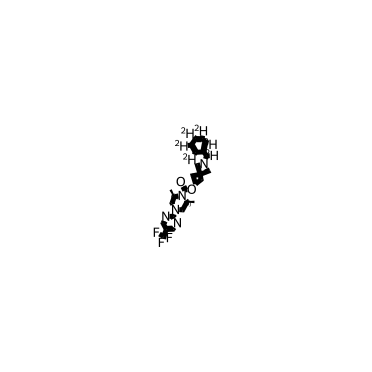 [2H]c1c([2H])c([2H])c(C([2H])N2CC3(CC(OC(=O)N4[C@H](C)CN(c5ncc(C(F)(F)F)cn5)C[C@@H]4C)C3)C2)c([2H])c1[2H]